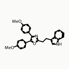 COc1ccc(-c2nc(CCc3c[nH]c4c#cccc34)oc2-c2ccc(OC)cc2)cc1